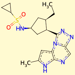 CC[C@@H]1C[C@H](NS(=O)(=O)C2CC2)C[C@@H]1c1nnc2cnc3[nH]c(C)cc3n12